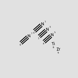 C#N.C#N.C#N.C#N.[Ti].[Zr]